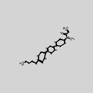 C=CC(=O)N(C)C1CCC(C2CC=C(C3CCC(CCCCC)CC3)CC2)CC1